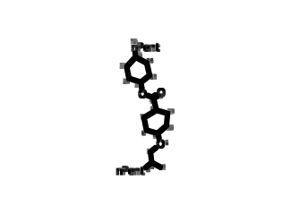 CCCCCC(C)COC1CCC(C(=O)OC2CCC(CCCCC)CC2)CC1